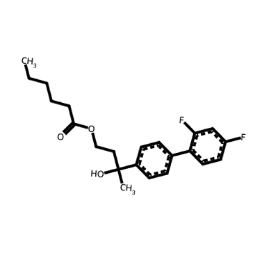 CCCCCC(=O)OCCC(C)(O)c1ccc(-c2ccc(F)cc2F)cc1